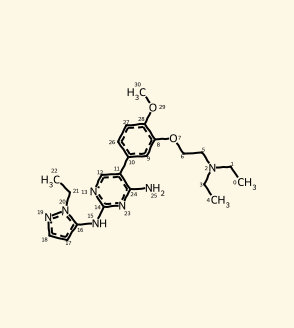 CCN(CC)CCOc1cc(-c2cnc(Nc3ccnn3CC)nc2N)ccc1OC